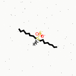 CCCCCCCCS(CCCCCCCC)=P([O-])([O-])[S-].[K+].[K+].[K+]